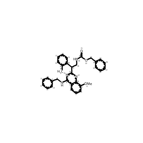 COc1cccc2c(NCc3ccccc3)nc(C(CNC(=O)OCc3ccccc3)c3ccccc3C)nc12